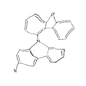 Brc1ccc2c(c1)c1ccccc1n2-c1cccc2oc3ccccc3c12